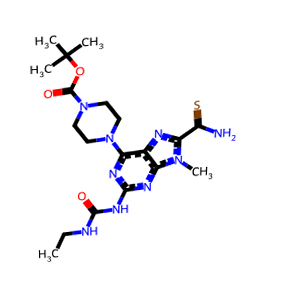 CCNC(=O)Nc1nc(N2CCN(C(=O)OC(C)(C)C)CC2)c2nc(C(N)=S)n(C)c2n1